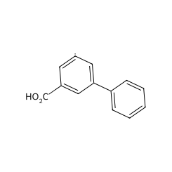 O=C(O)c1c[c]cc(-c2ccccc2)c1